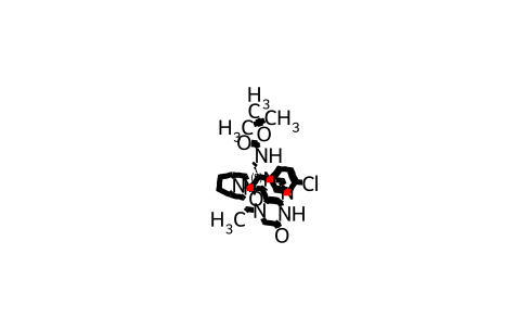 CCN1CC(=O)Nc2ncnc(N3CC4CCC(C3)N4C(=O)[C@H](CNC(=O)OC(C)(C)C)c3ccc(Cl)cc3)c21